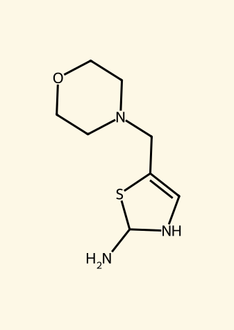 NC1NC=C(CN2CCOCC2)S1